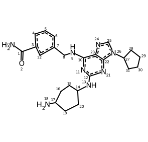 NC(=O)c1cccc(CNc2nc(NC3CCC(N)CC3)nc3c2ncn3C2CCCC2)c1